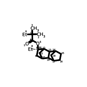 CCC(C)(C)C(=O)O[C@]1(CC)CC2CC1C1C3CCC(C3)C21